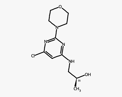 C[C@H](O)CNc1cc(Cl)nc(N2CCOCC2)n1